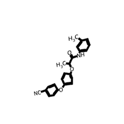 Cc1cccc(NC(=O)C(C)Oc2ccc(Oc3ccc(C#N)cc3)cc2)c1